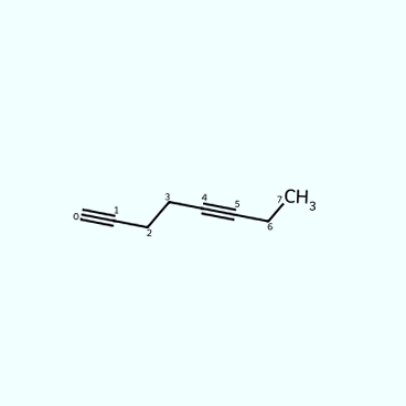 [C]#CCCC#CCC